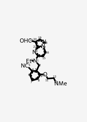 CCN(Cc1c(C#N)cccc1OCCNC)c1ccn2ncc(C=O)c2n1